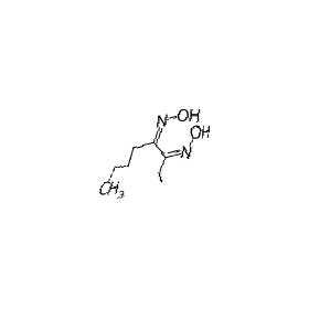 CCCCC(=N/O)/C(I)=N\O